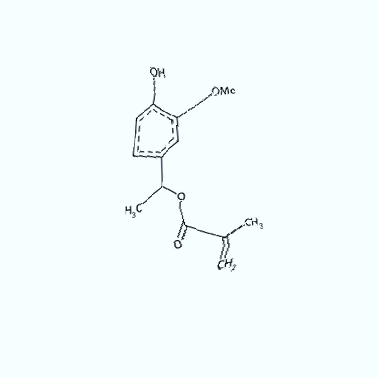 C=C(C)C(=O)OC(C)c1ccc(O)c(OC)c1